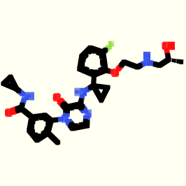 Cc1ccc(C(=O)NC2CC2)cc1-n1ccnc(NC2(c3cccc(F)c3OCCNC[C@@H](C)O)CC2)c1=O